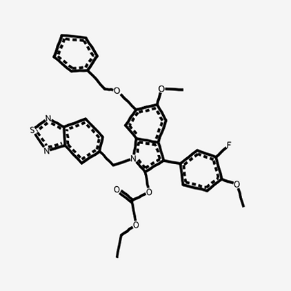 CCOC(=O)Oc1c(-c2ccc(OC)c(F)c2)c2cc(OC)c(OCc3ccccc3)cc2n1Cc1ccc2nsnc2c1